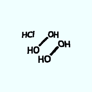 Cl.OO.OO